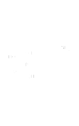 CP(O)(O)(O)CCCN